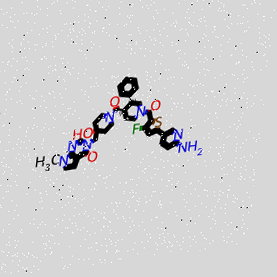 Cn1ccc2c(=O)n(CC3(O)CCN(C(=O)[C@@H]4CCN(C(=O)c5sc(-c6ccc(N)nc6)cc5F)C[C@H]4c4ccccc4)CC3)cnc21